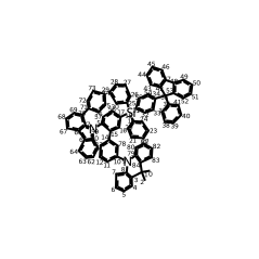 CC1(C)c2ccccc2N(c2cccc(-c3cc([Si](c4ccccc4)(c4ccccc4)c4ccc(C5(c6ccccc6)c6ccccc6-c6ccccc65)cc4)ccc3-n3c4ccccc4c4cccc(-c5ccccc5)c43)c2)c2ccccc21